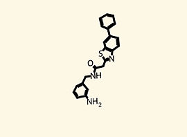 Nc1cccc(CNC(=O)Cc2nc3ccc(-c4ccccc4)cc3s2)c1